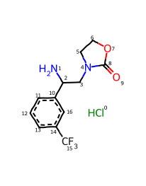 Cl.NC(CN1CCOC1=O)c1cccc(C(F)(F)F)c1